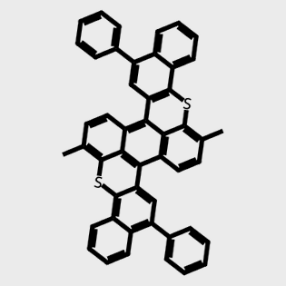 Cc1ccc2c3c1sc1c4ccccc4c(-c4ccccc4)cc1c3c1ccc(C)c3sc4c5ccccc5c(-c5ccccc5)cc4c2c31